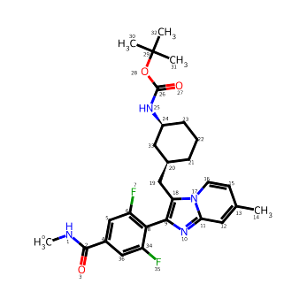 CNC(=O)c1cc(F)c(-c2nc3cc(C)ccn3c2C[C@@H]2CCC[C@H](NC(=O)OC(C)(C)C)C2)c(F)c1